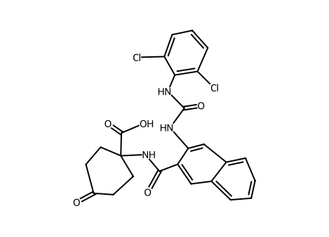 O=C1CCC(NC(=O)c2cc3ccccc3cc2NC(=O)Nc2c(Cl)cccc2Cl)(C(=O)O)CC1